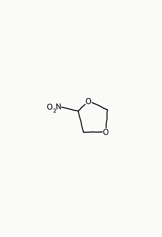 O=[N+]([O-])C1COCO1